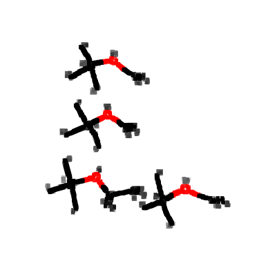 C[Si](C)(C)O[SiH2][SiH3].C[Si](C)(C)O[SiH3].C[Si](C)(C)O[SiH3].C[Si](C)(C)O[SiH3]